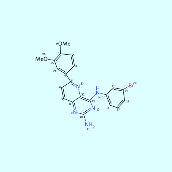 COc1ccc(-c2ccc3nc(N)nc(Nc4cccc(Br)c4)c3n2)cc1OC